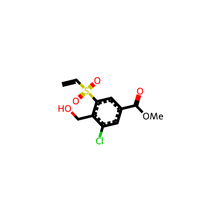 C=CS(=O)(=O)c1cc(C(=O)OC)cc(Cl)c1CO